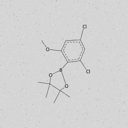 COc1cc(Cl)cc(Cl)c1B1OC(C)(C)C(C)(C)O1